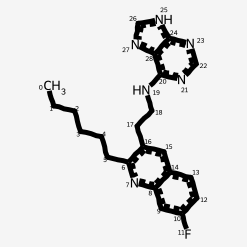 CCCCCCc1nc2cc(F)ccc2cc1CCNc1ncnc2[nH]cnc12